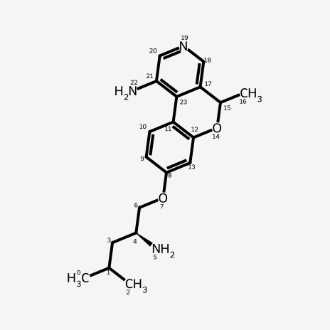 CC(C)C[C@H](N)COc1ccc2c(c1)OC(C)c1cncc(N)c1-2